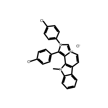 Cn1c2ccccc2c2cc[n+]3cn(-c4ccc(Cl)cc4)c(-c4ccc(Cl)cc4)c3c21.[Cl-]